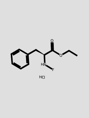 CCOC(=O)[C@H](Cc1ccccc1)NF.Cl